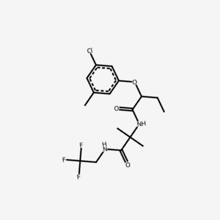 CCC(Oc1cc(C)cc(Cl)c1)C(=O)NC(C)(C)C(=O)NCC(F)(F)F